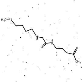 COCCCCNCC(=O)NCCCC(C)=O